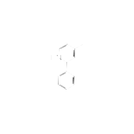 CC1=CC(c2ccccc2)NC=C1